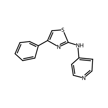 c1ccc(-c2csc(Nc3ccncc3)n2)cc1